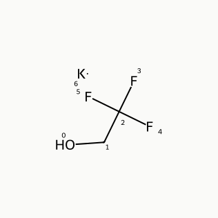 OCC(F)(F)F.[K]